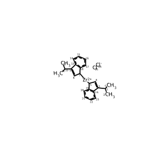 CC(C)C1=C[CH]([Zr+2][CH]2C=C(C(C)C)c3ccccc32)c2ccccc21.[Cl-].[Cl-]